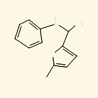 N#CC(Nc1ccccc1)c1ccc(Cl)s1